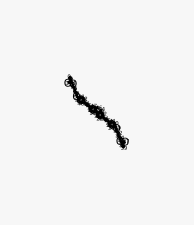 C=CC(=O)OCCCCOc1ccc(C#Cc2ccc(-c3ccc(C#Cc4ccc(OCCCCOC(=O)C=C)cc4)cc3C)c(C)c2)cc1